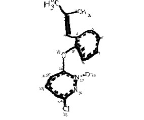 CC(C)=Cc1ccccc1Oc1ccc(Cl)n[n+]1[O-]